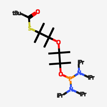 CC(C)N(C(C)C)P(OC(C)(C)C(C)(C)OC(C)(C)C(C)(C)SC(=O)C(C)(C)C)N(C(C)C)C(C)C